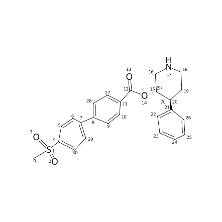 CS(=O)(=O)c1ccc(-c2ccc(C(=O)O[C@@H]3CNCC[C@H]3c3ccccc3)cc2)cc1